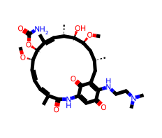 CO[C@H]1C=CC=C(C)C(=O)NC2=CC(=O)C(NCCN(C)C)=C(C[C@@H](C)C[C@H](OC)[C@H](O)[C@@H](C)C=C(C)[C@@H]1OC(N)=O)C2=O